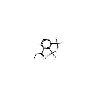 O=C(CI)c1cccc(C(F)(F)F)c1C(F)(F)F